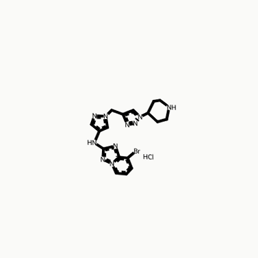 Brc1cccn2nc(Nc3cnn(Cc4cn(C5CCNCC5)nn4)c3)nc12.Cl